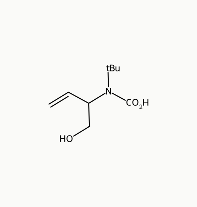 C=CC(CO)N(C(=O)O)C(C)(C)C